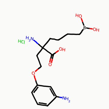 Cl.Nc1cccc(OCCC(N)(CCCCB(O)O)C(=O)O)c1